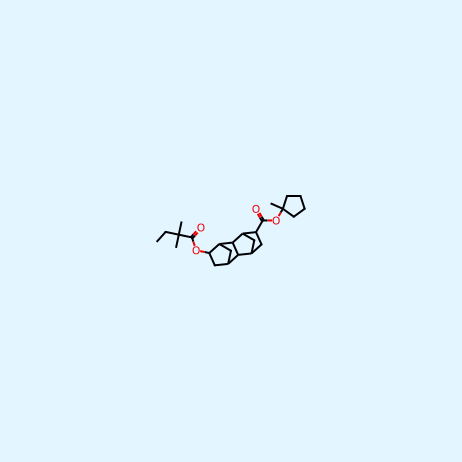 CCC(C)(C)C(=O)OC1CC2CC1C1C3CC(CC3C(=O)OC3(C)CCCC3)C21